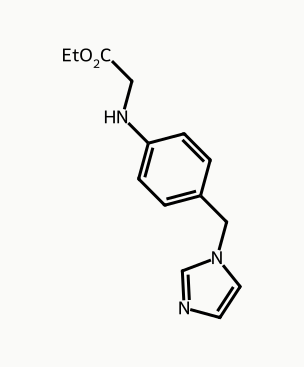 CCOC(=O)CNc1ccc(Cn2ccnc2)cc1